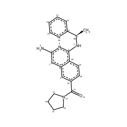 C[C@@H](Nc1nc(N)nc2cc(C(=O)N3CCCC3)ccc12)c1ccccn1